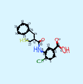 O=C(O)c1ccc(Cl)c(NC(=O)C(CS)Cc2ccccc2)c1